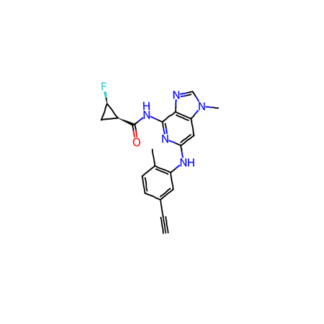 C#Cc1ccc(C)c(Nc2cc3c(ncn3C)c(NC(=O)[C@H]3C[C@H]3F)n2)c1